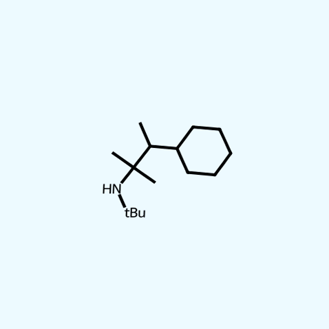 CC(C1CCCCC1)C(C)(C)NC(C)(C)C